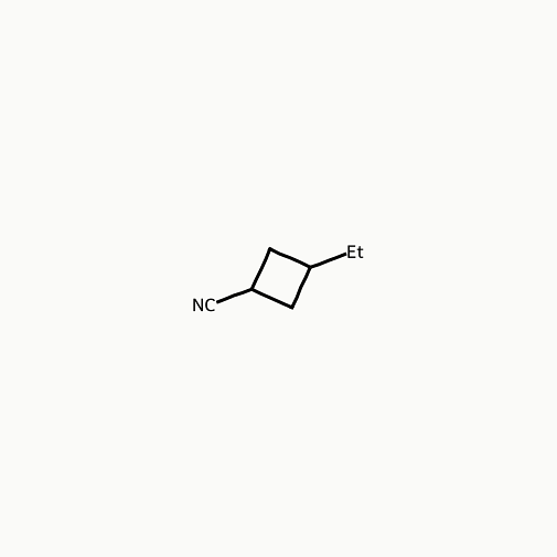 CCC1CC(C#N)C1